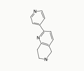 c1cc(-c2ccc3c(n2)CC[N]C3)ccn1